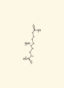 O=C(S)CCCCCCCCC(=O)S.[NaH]